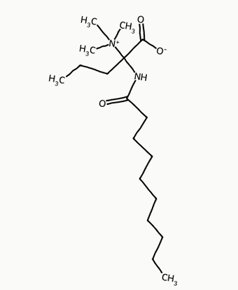 CCCCCCCCCC(=O)NC(CCC)(C(=O)[O-])[N+](C)(C)C